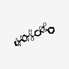 O=C1O[C@]2(CC[C@H](C(=O)Nc3cnc(-c4nccs4)cn3)CC2)CN1c1ccccc1